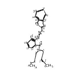 CCCCN(CCCC)C(=O)c1ccccc1N=NCc1nc2ccccc2o1